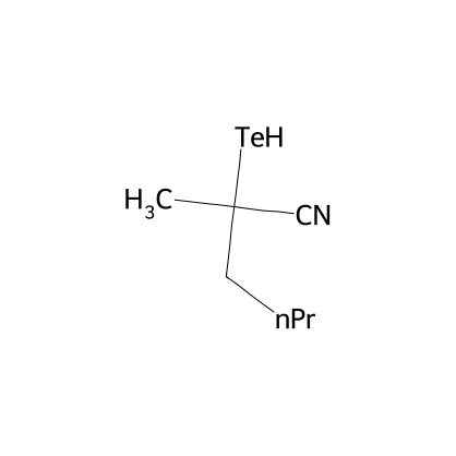 CCCCC(C)([TeH])C#N